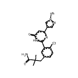 CCCn1cc(-c2cc(=O)[nH]c(-c3cc(CC(C)(C)C(N)=O)ccc3Cl)n2)cn1